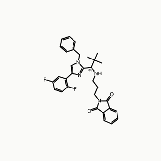 CC(C)(C)[C@@H](NCCCN1C(=O)c2ccccc2C1=O)c1nc(-c2cc(F)ccc2F)cn1Cc1ccccc1